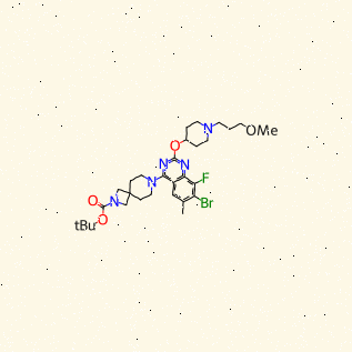 COCCCN1CCC(Oc2nc(N3CCC4(CC3)CN(C(=O)OC(C)(C)C)C4)c3cc(C)c(Br)c(F)c3n2)CC1